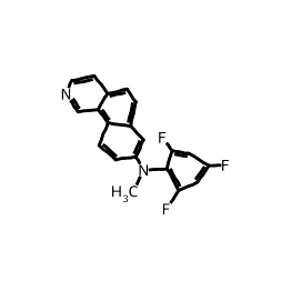 CN(c1ccc2c(ccc3ccncc32)c1)c1c(F)cc(F)cc1F